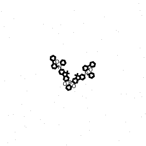 CC1(C)c2cc(N(c3ccccc3)c3cccc4c3oc3ccccc34)ccc2-c2cc3c(cc21)B1c2cc4c(cc2Oc2cccc(c21)O3)-c1ccc(N(c2ccccc2)c2cccc3c2oc2ccccc23)cc1C4(C)C